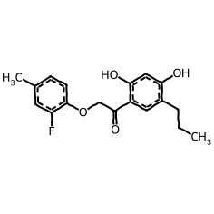 CCCc1cc(C(=O)COc2ccc(C)cc2F)c(O)cc1O